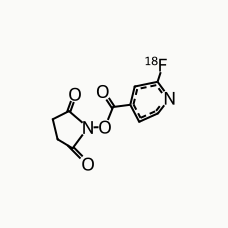 O=C(ON1C(=O)CCC1=O)c1ccnc([18F])c1